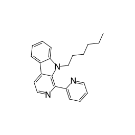 CCCCCCn1c2ccccc2c2ccnc(-c3ccccn3)c21